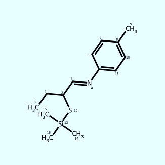 CCC(/C=N/c1ccc(C)cc1)S[Si](C)(C)C